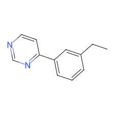 CCc1cccc(-c2ccncn2)c1